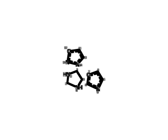 C1CNCN1.c1cocn1.c1conn1